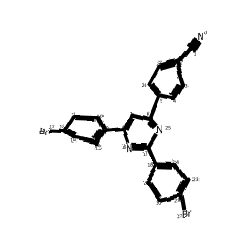 N#Cc1ccc(-c2cc(-c3ccc(Br)cc3)nc(-c3ccc(Br)cc3)n2)cc1